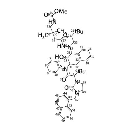 CCC(C)C(C(=O)N(c1ccccc1)C(Cc1ccccc1)C(O)CN(CCC(C)(C)C)NC(=O)CC(C)(C)CNC(=O)OC)N1CCN(Cc2ccnc3ccccc23)C1=O